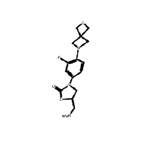 CNCC1CN(c2ccc(N3CC4(CSC4)C3)c(F)c2)C(=O)O1